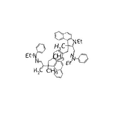 C=C(C=NN(CC)c1ccccc1)C(C)(Cc1ccc(CC2(C)C(C=NN(CC)c3ccccc3)=[N+](CC)c3ccc4ccccc4c32)cc1)c1c(C)ccc2ccccc12